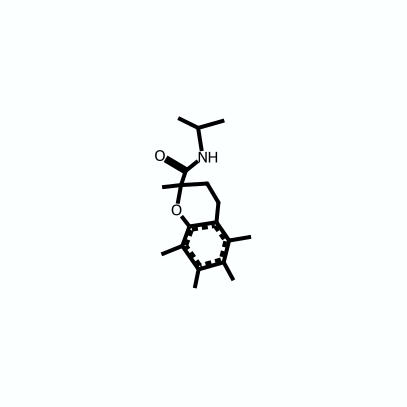 Cc1c(C)c(C)c2c(c1C)CCC(C)(C(=O)NC(C)C)O2